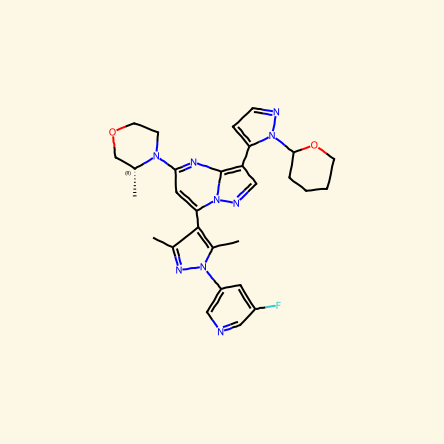 Cc1nn(-c2cncc(F)c2)c(C)c1-c1cc(N2CCOC[C@H]2C)nc2c(-c3ccnn3C3CCCCO3)cnn12